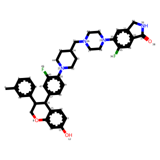 Cc1cccc(C2COc3cc(O)ccc3C2c2ccc(N3CCC(CN4CCN(c5cc6c(cc5F)C(=O)NC6)CC4)CC3)c(F)c2)c1